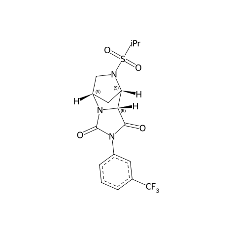 CC(C)S(=O)(=O)N1C[C@@H]2C[C@H]1[C@@H]1C(=O)N(c3cccc(C(F)(F)F)c3)C(=O)N21